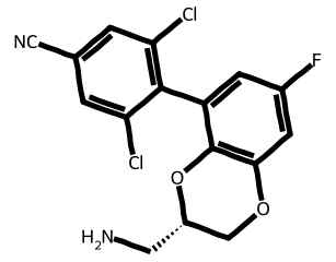 N#Cc1cc(Cl)c(-c2cc(F)cc3c2O[C@@H](CN)CO3)c(Cl)c1